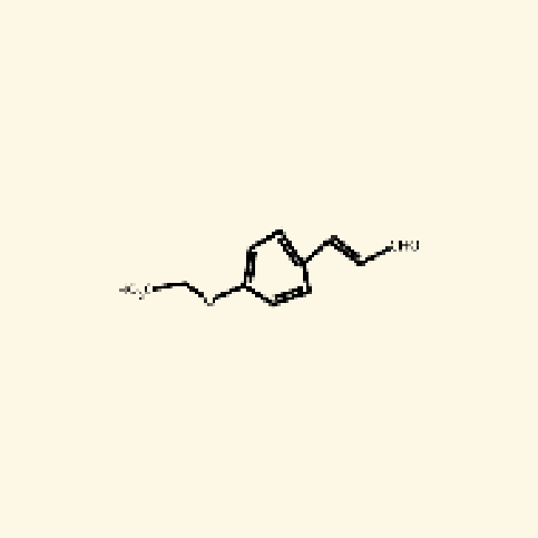 O=C/C=C/c1ccc(OCC(=O)O)cc1